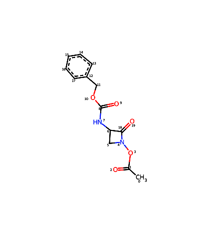 CC(=O)ON1CC(NC(=O)OCc2ccccc2)C1=O